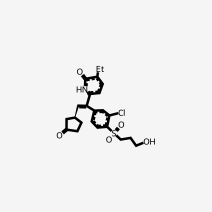 CCc1ccc(/C(=C/[C@H]2CCC(=O)C2)c2ccc(S(=O)(=O)CCCO)c(Cl)c2)[nH]c1=O